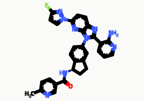 Cc1ccc(C(=O)N[C@H]2CCc3cc(-n4c(-c5cccnc5N)nc5ccc(-n6ccc(F)n6)nc54)ccc32)cn1